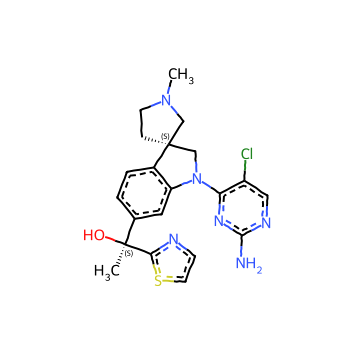 CN1CC[C@]2(C1)CN(c1nc(N)ncc1Cl)c1cc([C@](C)(O)c3nccs3)ccc12